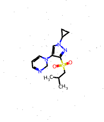 CC(C)CS(=O)(=O)c1nn(C2CC2)cc1N1C=CC=NC1